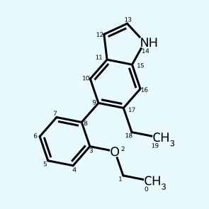 CCOc1ccccc1-c1cc2cc[nH]c2cc1CC